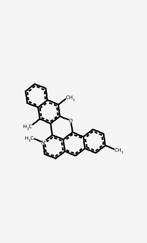 Cc1ccc2c3c4c([n+](C)ccc4cc2c1)-c1c(c(C)c2ccccc2c1C)O3